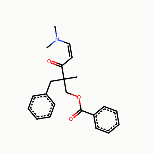 CN(C)/C=C\C(=O)C(C)(COC(=O)c1ccccc1)Cc1ccccc1